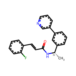 C[C@H](NC(=O)C=Cc1ccccc1F)c1cccc(-c2cccnc2)c1